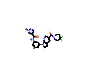 Cn1cc(C(=O)Nc2cc(F)cc(-n3ccc4cc(C(=O)N5CCC(F)(F)CC5)cnc43)c2)cn1